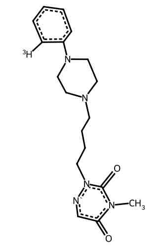 [3H]c1ccccc1N1CCN(CCCCn2ncc(=O)n(C)c2=O)CC1